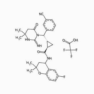 CC1(C)CC(=O)N(C(c2cccc(C#N)c2)[C@@H]2C[C@H]2C(=O)NC2CC(C)(C)Oc3ccc(F)cc32)C(=N)N1.O=C(O)C(F)(F)F